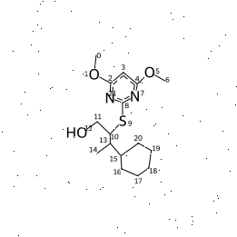 COc1cc(OC)nc(SC(CO)C(C)C2CCCCC2)n1